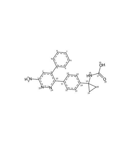 Nc1cc(-c2ccccc2)c(-c2ccc(C3(NC(=O)O)CC3)cc2)nn1